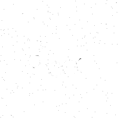 COC(=O)[C@H](C)Nc1nccc(N2C(=O)OC[C@@H]2C=C(C)C)n1